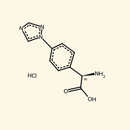 Cl.N[C@@H](C(=O)O)c1ccc(-n2cncn2)cc1